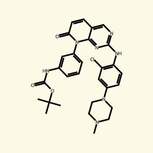 CN1CCN(c2ccc(Nc3ncc4ccc(=O)n(-c5cccc(NC(=O)OC(C)(C)C)c5)c4n3)c(Cl)c2)CC1